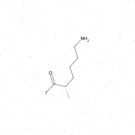 C[C@@H](CCCCN)C(=O)I